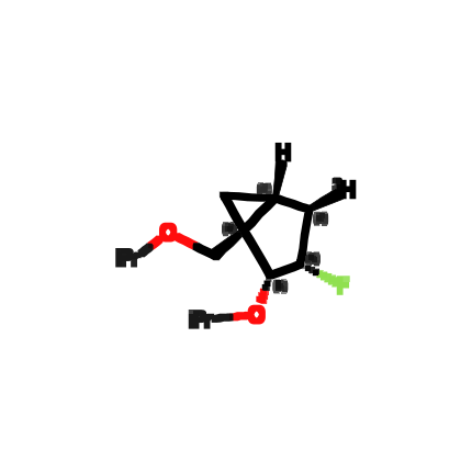 [3H][C@H]1[C@H](F)[C@H](OC(C)C)[C@]2(COC(C)C)C[C@H]12